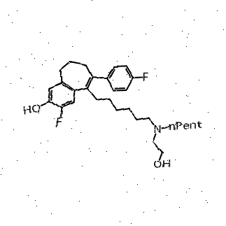 CCCCCN(CCO)CCCCCCC1=C(c2ccc(F)cc2)CCCc2cc(O)c(F)cc21